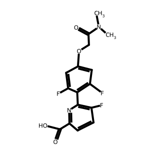 CN(C)C(=O)COc1cc(F)c(-c2nc(C(=O)O)ccc2F)c(F)c1